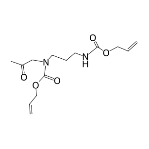 C=CCOC(=O)NCCCN(CC(C)=O)C(=O)OCC=C